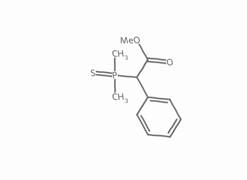 COC(=O)C(c1ccccc1)P(C)(C)=S